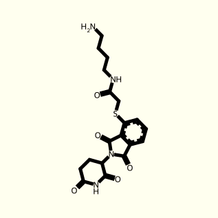 NCCCCNC(=O)CSc1cccc2c1C(=O)N(C1CCC(=O)NC1=O)C2=O